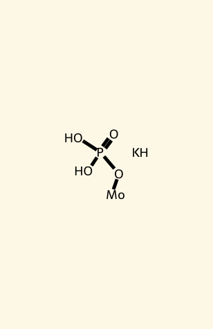 O=P(O)(O)[O][Mo].[KH]